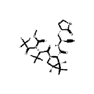 COC(=O)N(C(=O)C(F)(F)F)[C@H](C(=O)N1C[C@H]2[C@@H]([C@H]1C(=O)N[C@H](C#N)C[C@@H]1CCNC1=O)C2(C)C)C(C)(C)C